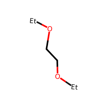 [CH2]COCCOCC